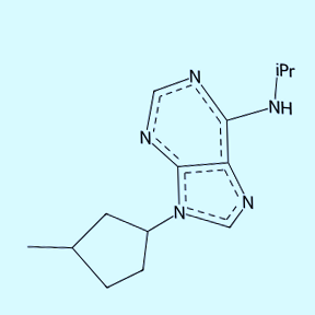 CC1CCC(n2cnc3c(NC(C)C)ncnc32)C1